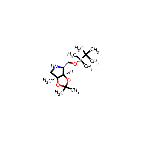 CC1(C)O[C@@H]2[C@@H](CO[Si](C)(C)C(C)(C)C)NC[C@]2(C)O1